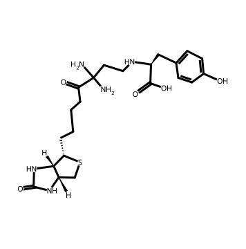 NC(N)(CCN[C@@H](Cc1ccc(O)cc1)C(=O)O)C(=O)CCCC[C@@H]1SC[C@@H]2NC(=O)N[C@@H]21